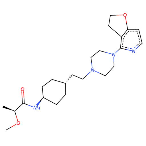 CO[C@@H](C)C(=O)N[C@H]1CC[C@H](CCN2CCN(c3nccc4c3CCO4)CC2)CC1